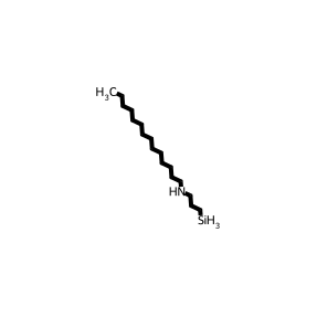 CCCCCCCCCCCCCCNCCC[SiH3]